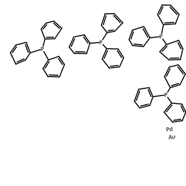 [Au].[Pd].c1ccc(P(c2ccccc2)c2ccccc2)cc1.c1ccc(P(c2ccccc2)c2ccccc2)cc1.c1ccc(P(c2ccccc2)c2ccccc2)cc1.c1ccc(P(c2ccccc2)c2ccccc2)cc1